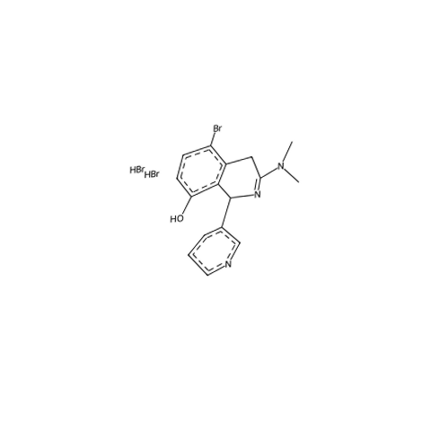 Br.Br.CN(C)C1=NC(c2cccnc2)c2c(O)ccc(Br)c2C1